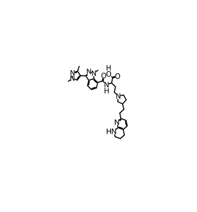 Cc1nn(C)cc1-c1nn(C)c2c(C(=O)NC(CCN3CCC(CCc4ccc5c(n4)NCCC5)C3)C(=O)O)cccc12